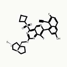 C#Cc1c(F)ccc2cc(O)cc(-c3ncc4c(S(=O)(=O)C5CCC5)nc(OC[C@@]56CCCN5C[C@H](F)C6)nc4c3F)c12